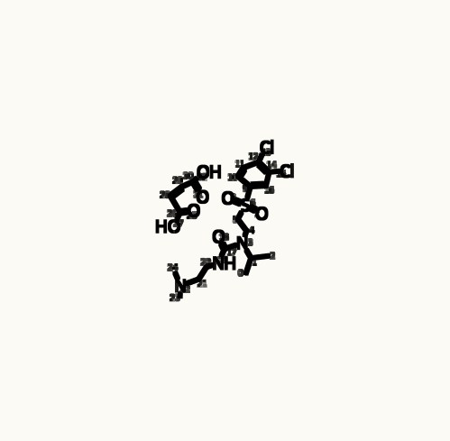 CC(C)N(CCS(=O)(=O)c1ccc(Cl)c(Cl)c1)C(=O)NCCN(C)C.O=C(O)/C=C\C(=O)O